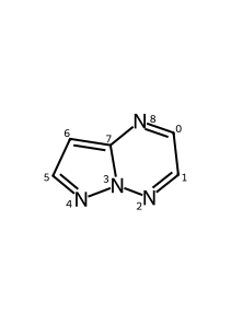 c1cnn2nccc2n1